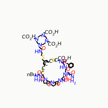 CCCCNC(=O)N[C@H]1CSCc2cc(CSCCNC(=O)CN3CCN(CC(=O)O)CCN(CC(=O)O)CCN(CC(=O)O)CC3)cc(c2)CSC[C@@H](C(=O)O)NC(=O)[C@H](Cc2ccccc2)NC(=O)[C@H](CCC(N)=O)NC(=O)[C@H]([C@@H](C)O)NC(=O)[C@@H]2CCCN2C(=O)[C@@H]2CCCN2C1=O